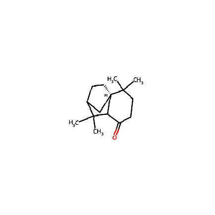 CC1(C)C2CC[C@@]3(C2)C1C(=O)CCC3(C)C